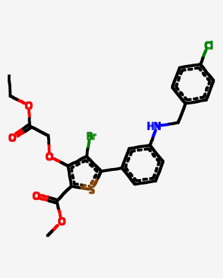 CCOC(=O)COc1c(C(=O)OC)sc(-c2cccc(NCc3ccc(Cl)cc3)c2)c1Br